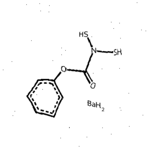 O=C(Oc1ccccc1)N(S)S.[BaH2]